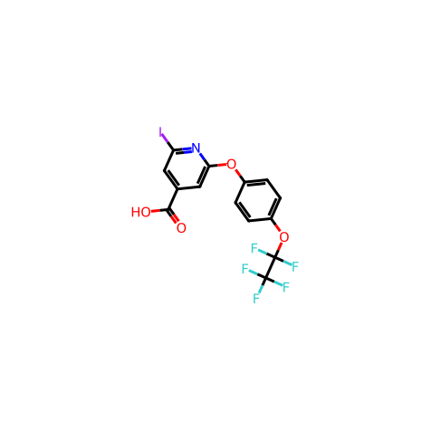 O=C(O)c1cc(I)nc(Oc2ccc(OC(F)(F)C(F)(F)F)cc2)c1